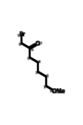 COCCCCCC(=O)CBr